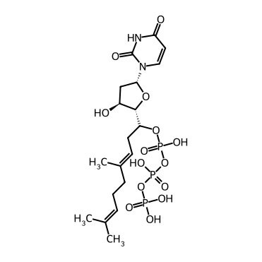 CC(C)=CCC/C(C)=C/CC(OP(=O)(O)OP(=O)(O)OP(=O)(O)O)[C@H]1O[C@@H](n2ccc(=O)[nH]c2=O)C[C@@H]1O